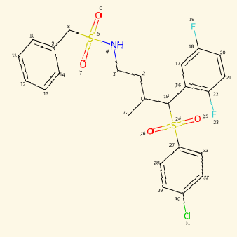 CC(CCNS(=O)(=O)Cc1ccccc1)C(c1cc(F)ccc1F)S(=O)(=O)c1ccc(Cl)cc1